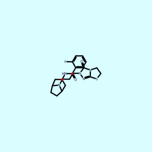 O=C(NC1CC2CCC(C1)N2CCCn1nc2n(c1=O)CCS2)c1ccccc1F